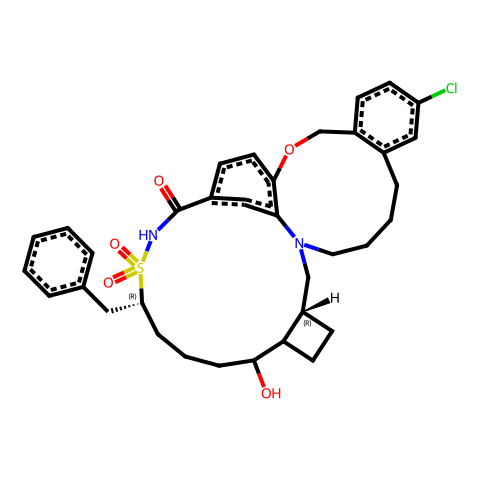 O=C1NS(=O)(=O)[C@@H](Cc2ccccc2)CCCC(O)C2CC[C@H]2CN2CCCCc3cc(Cl)ccc3COc3ccc1cc32